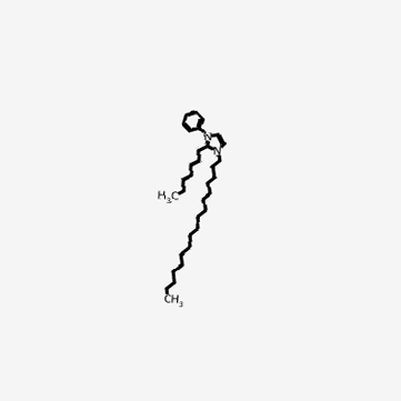 CCCCCCCCCCCCCCCCCN1C=CN(c2ccccc2)C1CCCCCCC